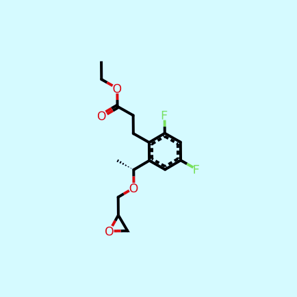 CCOC(=O)CCc1c(F)cc(F)cc1[C@@H](C)OCC1CO1